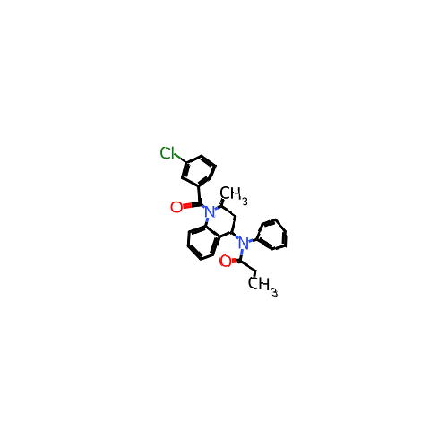 CCC(=O)N(c1ccccc1)C1CC(C)N(C(=O)c2cccc(Cl)c2)c2ccccc21